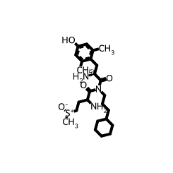 Cc1cc(O)cc(C)c1C[C@H](N)C(=O)N(CCCC1CCCCC1)C(=O)C(N)CC[S+](C)[O-]